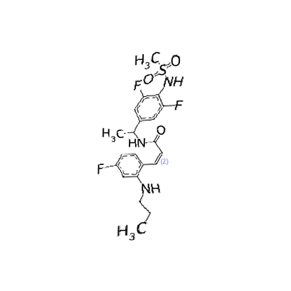 CCCNc1cc(F)ccc1/C=C\C(=O)NC(C)c1cc(F)c(NS(C)(=O)=O)c(F)c1